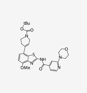 COc1ccc(C2=CCN(C(=O)OC(C)(C)C)CC2)c2sc(NC(=O)c3ccnc(N4CCOCC4)c3)nc12